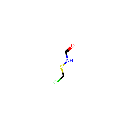 O=CNSCCl